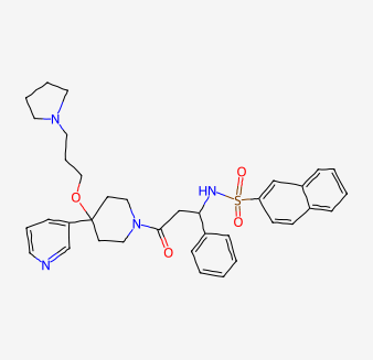 O=C(CC(NS(=O)(=O)c1ccc2ccccc2c1)c1ccccc1)N1CCC(OCCCN2CCCC2)(c2cccnc2)CC1